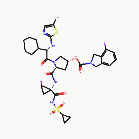 CCc1cnc(N[C@H](C(=O)N2C[C@H](OC(=O)N3Cc4cccc(I)c4C3)C[C@H]2C(=O)N[C@]2(C(=O)NS(=O)(=O)C3CC3)C[C@H]2I)C2CCCCC2)s1